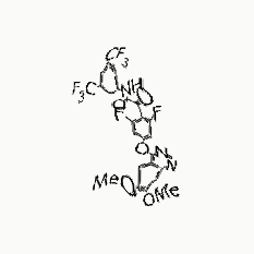 COc1cc2ncnc(Oc3cc(F)c(C(=O)C(=O)Nc4cc(C(F)(F)F)cc(C(F)(F)F)c4)c(F)c3)c2cc1OC